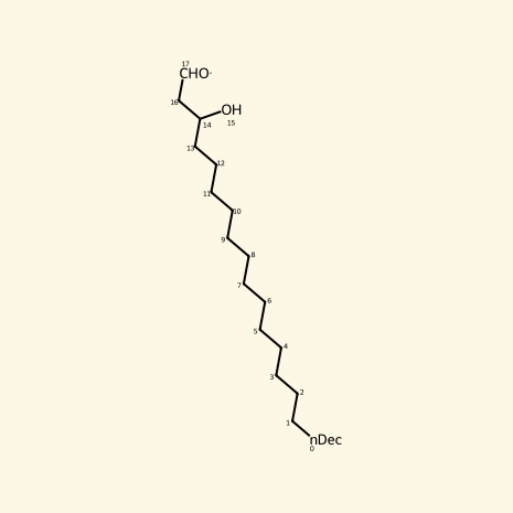 CCCCCCCCCCCCCCCCCCCCCCCC(O)C[C]=O